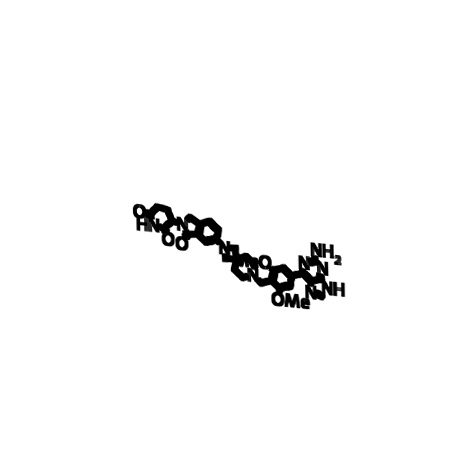 COc1cc(-c2nc(N)nc3[nH]cnc23)cc(OC)c1CN1CCC2(CC1)CN(c1ccc3c(c1)C(=O)N(C1CCC(=O)NC1=O)C3)C2